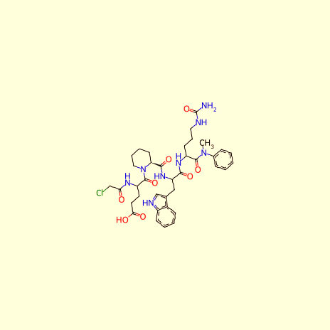 CN(C(=O)C(CCCNC(N)=O)NC(=O)C(Cc1c[nH]c2ccccc12)NC(=O)[C@@H]1CCCCN1C(=O)C(CCC(=O)O)NC(=O)CCl)c1ccccc1